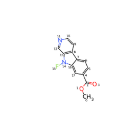 COC(=O)c1ccc2c3ccncc3n(F)c2c1